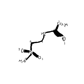 NS(=O)(=O)CCNC(=O)C(=O)O